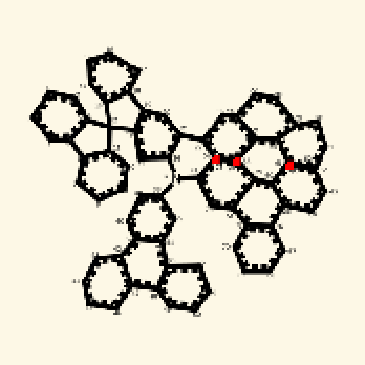 c1ccc2c(c1)-c1ccccc1C21c2ccccc2-c2cc(-c3ccc4c(ccc5ccccc54)c3)c(N(c3ccc4c5ccccc5c5ccccc5c4c3)c3ccc4c5ccccc5c5ccccc5c4c3)cc21